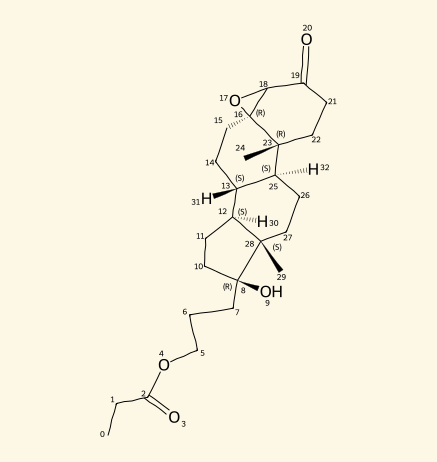 CCC(=O)OCCC[C@]1(O)CC[C@H]2[C@@H]3CC[C@]45OC4C(=O)CC[C@]5(C)[C@H]3CC[C@@]21C